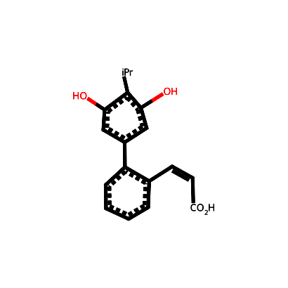 CC(C)c1c(O)cc(-c2ccccc2/C=C\C(=O)O)cc1O